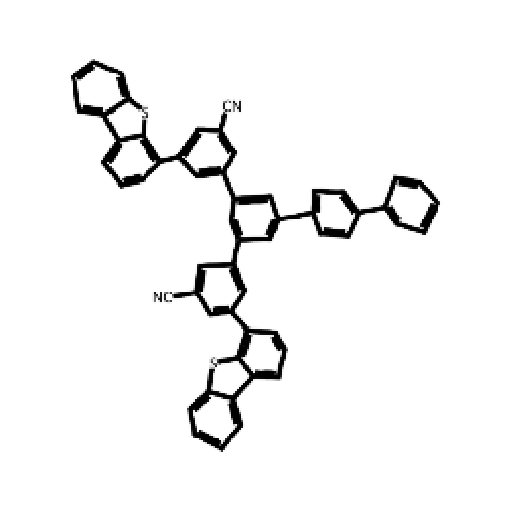 N#Cc1cc(-c2cc(-c3ccc(-c4ccccc4)cc3)cc(-c3cc(C#N)cc(-c4cccc5c4sc4ccccc45)c3)c2)cc(-c2cccc3c2sc2ccccc23)c1